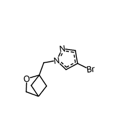 Brc1cnn(CC23CC(CO2)C3)c1